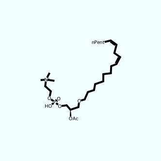 CCCCC/C=C\C/C=C\CCCCCCCCOC[C@H](COP(=O)(O)OCC[N+](C)(C)C)OC(C)=O